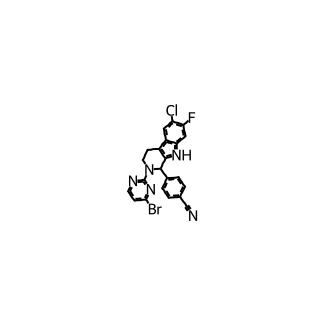 N#Cc1ccc(C2c3[nH]c4cc(F)c(Cl)cc4c3CCN2c2nccc(Br)n2)cc1